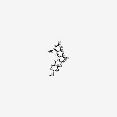 CSc1ncc(Cn2cnc(C)c(Oc3cc(Cl)cc(C#N)c3)c2=O)c(=O)[nH]1